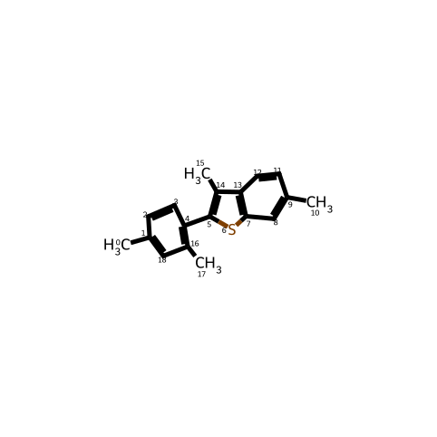 Cc1ccc(-c2sc3cc(C)ccc3c2C)c(C)c1